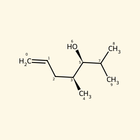 C=CC[C@H](C)[C@@H](O)C(C)C